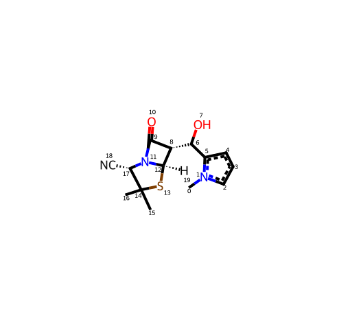 Cn1cccc1C(O)[C@H]1C(=O)N2[C@@H]1SC(C)(C)[C@@H]2C#N